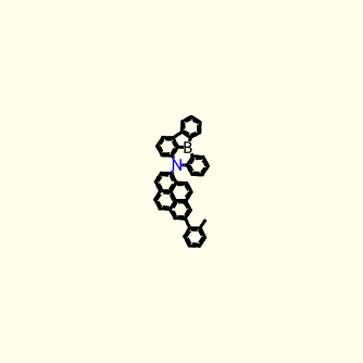 Cc1ccccc1-c1cc2ccc3ccc(N4c5ccccc5B5c6ccccc6-c6cccc4c65)c4ccc(c1)c2c34